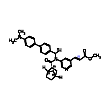 [2H]C(c1ccc(-c2ccc(N(C)C)cc2)cc1)N(C(=O)[C@@H]1C[C@@H]2CC[C@H]1C2)c1cncc(/C=C/C(=O)OC)c1